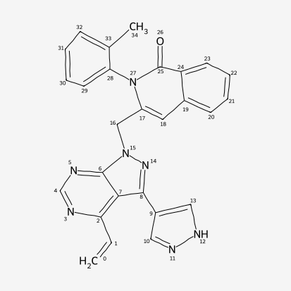 C=Cc1ncnc2c1c(-c1cn[nH]c1)nn2Cc1cc2ccccc2c(=O)n1-c1ccccc1C